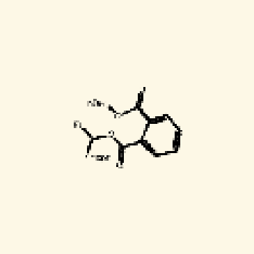 CCCCCCCCCCOC(=O)c1ccccc1C(=O)OC(CC)CCCCCCC